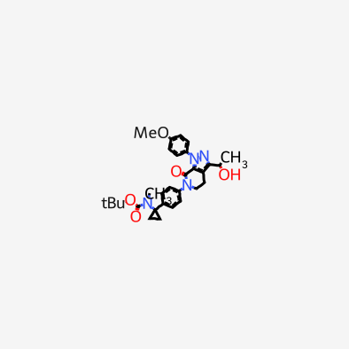 COc1ccc(-n2nc(C(C)O)c3c2C(=O)N(c2ccc(C4(N(C)C(=O)OC(C)(C)C)CC4)cc2)CC3)cc1